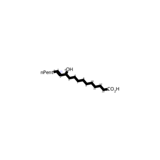 CCCCC/C=C/C(O)CCCCCCCCCC(=O)O